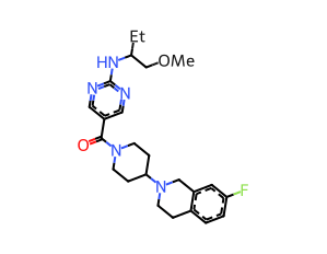 CCC(COC)Nc1ncc(C(=O)N2CCC(N3CCc4ccc(F)cc4C3)CC2)cn1